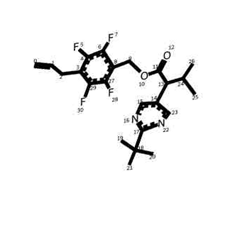 C=CCc1c(F)c(F)c(COC(=O)C(c2cnc(C(C)(C)C)nc2)C(C)C)c(F)c1F